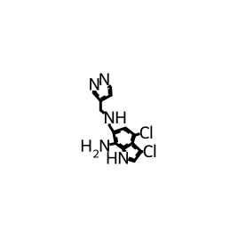 Nc1c(CNCc2ccnnc2)cc(Cl)c2c(Cl)c[nH]c12